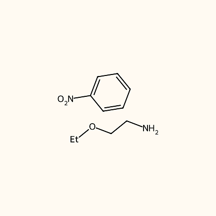 CCOCCN.O=[N+]([O-])c1ccccc1